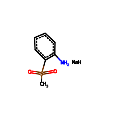 CS(=O)(=O)c1ccccc1N.[NaH]